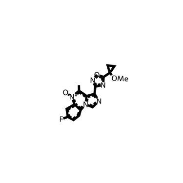 COC1(c2nc(-c3ncn4c3c(C)[n+]([O-])c3cc(F)ccc34)no2)CC1